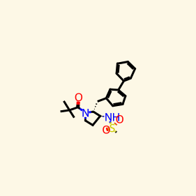 CC(C)(C)C(=O)N1CC[C@@H](NS(C)(=O)=O)[C@H]1Cc1cccc(-c2ccccc2)c1